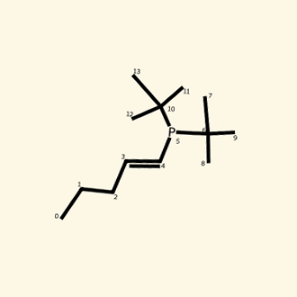 CCCC=CP(C(C)(C)C)C(C)(C)C